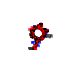 C/C(CCC(=O)NCCCC[C@H](NC(=O)CNC(=O)[C@@H]1CSCC(=O)N[C@@H](Cc2ccccc2)C(=O)N[C@@H](C(C)C)C(=O)N2CCC[C@H]2C(=O)N[C@@H]([C@@H](C)O)C(=O)N[C@@H]([C@@H](C)O)C(=O)N[C@@H](Cc2ccc(-c3ccccc3)cc2)C(=O)N(C)[C@@H](C)C(=O)N[C@@H](Cc2ccc(-c3ccccc3)cc2)C(=O)N(C)[C@@H](C)C(=O)N[C@@H](CCC(=O)O)C(=O)N[C@@H](C)C(=O)N2CCC[C@H]2C(=O)N1)C(N)=O)=N/OC(C)(C)C